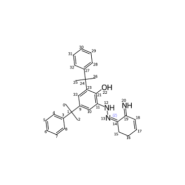 CC(C)(c1ccccc1)c1cc(N/N=C2/CCC=CC2=N)c(O)c(C(C)(C)c2ccccc2)c1